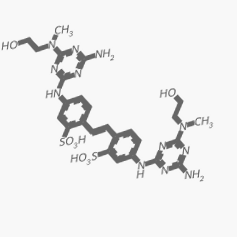 CN(CCO)c1nc(N)nc(Nc2ccc(/C=C/c3ccc(Nc4nc(N)nc(N(C)CCO)n4)cc3S(=O)(=O)O)c(S(=O)(=O)O)c2)n1